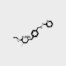 CCOC(=O)[C@@H](C)C[C@@H](N)Cc1ccc(CSSc2ccccn2)cc1